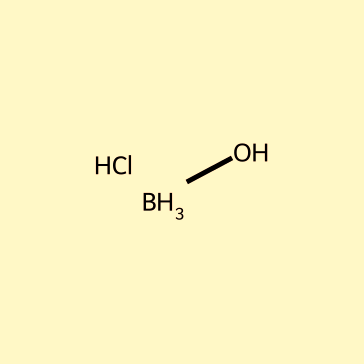 B.CO.Cl